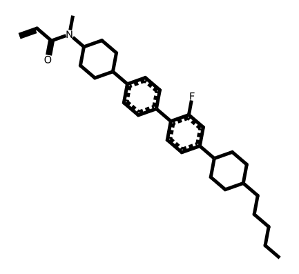 C=CC(=O)N(C)C1CCC(c2ccc(-c3ccc(C4CCC(CCCCC)CC4)cc3F)cc2)CC1